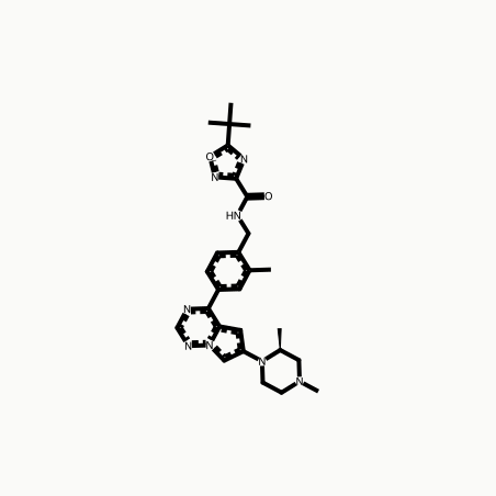 Cc1cc(-c2ncnn3cc(N4CCN(C)C[C@@H]4C)cc23)ccc1CNC(=O)c1noc(C(C)(C)C)n1